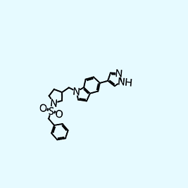 O=S(=O)(Cc1ccccc1)N1CCC(Cn2ccc3cc(-c4cn[nH]c4)ccc32)C1